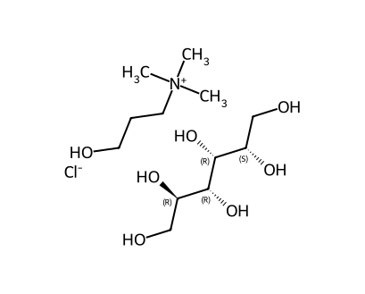 C[N+](C)(C)CCCO.OC[C@@H](O)[C@@H](O)[C@H](O)[C@@H](O)CO.[Cl-]